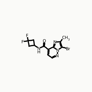 Cc1nc2c(C(=O)NC3CC(F)(F)C3)ccnn2c1Br